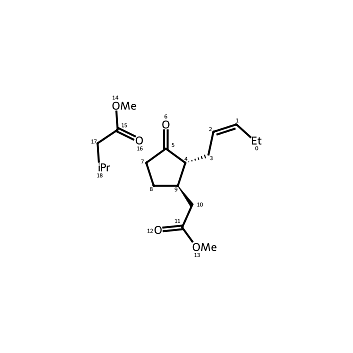 CC/C=C\C[C@H]1C(=O)CC[C@@H]1CC(=O)OC.COC(=O)CC(C)C